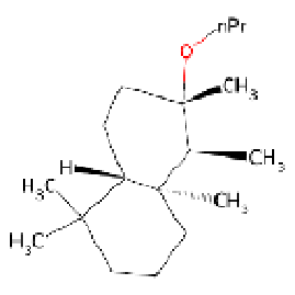 CCCO[C@@]1(C)CC[C@H]2C(C)(C)CCC[C@]2(C)[C@@H]1C